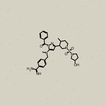 CC1CCN(S(=O)(=O)N2CCC(O)C2)CC1c1cc(N(C)Cc2ccc(C(=N)N)cc2)n(C(=O)c2ccccc2)n1